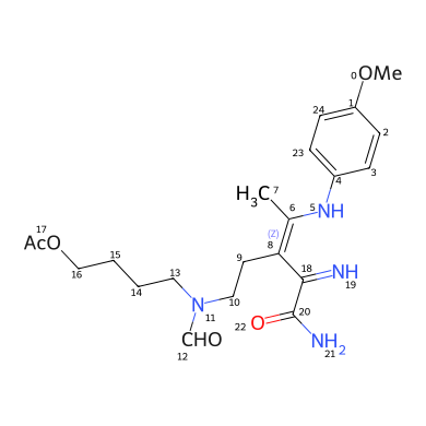 COc1ccc(N/C(C)=C(/CCN(C=O)CCCCOC(C)=O)C(=N)C(N)=O)cc1